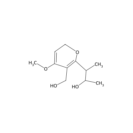 COC1=CCOC(C(C)C(C)O)=C1CO